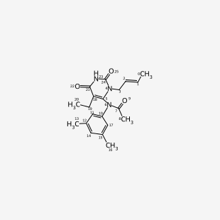 CC=CCn1c(N(C(C)=O)c2cc(C)cc(C)c2)c(CC)c(=O)[nH]c1=O